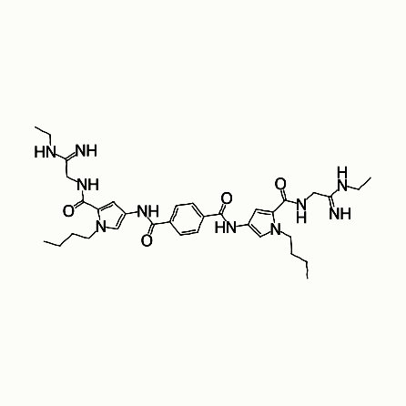 CCCCn1cc(NC(=O)c2ccc(C(=O)Nc3cc(C(=O)NCC(=N)NCC)n(CCCC)c3)cc2)cc1C(=O)NCC(=N)NCC